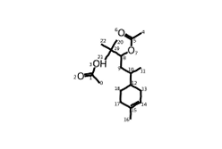 CC(=O)O.CC(=O)OC(CC(C)C1CC=C(C)CC1)C(C)(C)C